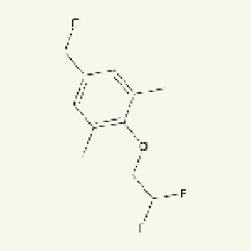 Cc1cc(CCl)cc(C)c1OCC(F)F